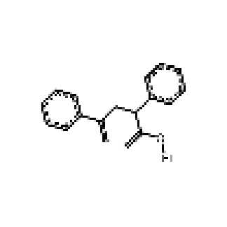 C=C(CC(C(=C)OCC)c1ccccc1)c1ccccc1